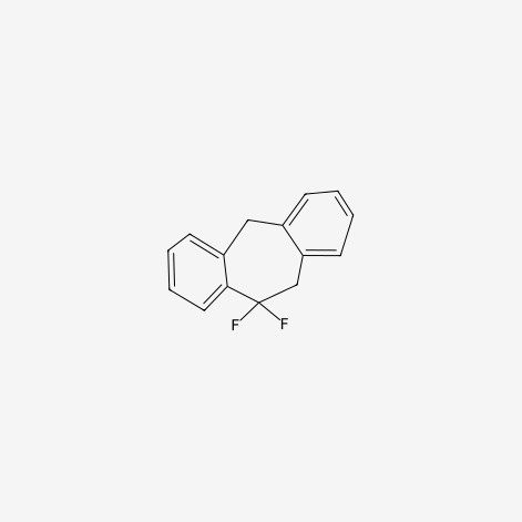 FC1(F)Cc2ccccc2Cc2ccccc21